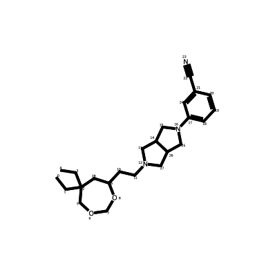 CCC1(CC)COCOC(CCN2CC3CN(c4cccc(C#N)c4)CC3C2)C1